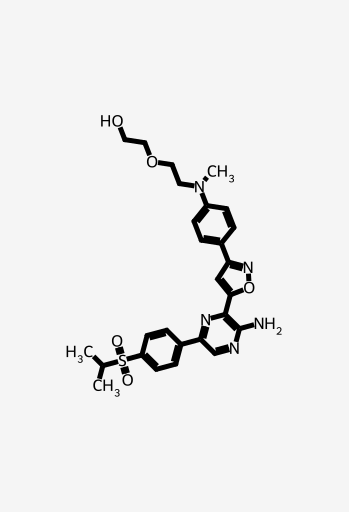 CC(C)S(=O)(=O)c1ccc(-c2cnc(N)c(-c3cc(-c4ccc(N(C)CCOCCO)cc4)no3)n2)cc1